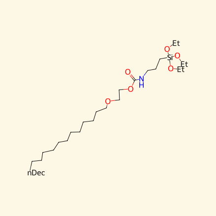 CCCCCCCCCCCCCCCCCCCCCCOCCOC(=O)NCCC[Si](OCC)(OCC)OCC